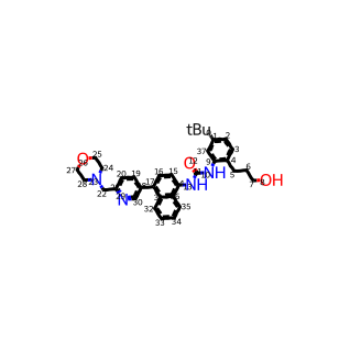 CC(C)(C)c1ccc(CCCO)c(NC(=O)Nc2ccc(-c3ccc(CN4CCOCC4)nc3)c3ccccc23)c1